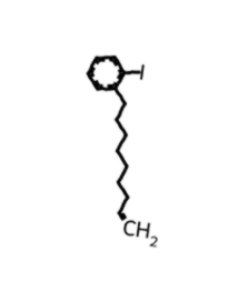 C=CCCCCCCCc1ccccc1I